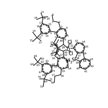 CCCc1ccc2c(c1-c1cc(C(C)(C)C)cc(C(C)(C)C)c1)C=C(C(C)C)[CH]2[Zr]([Cl])([Cl])([c]1cccc2c1[SiH2]c1ccccc1-2)[CH]1C(C(C)C)=Cc2c1ccc(CCC)c2-c1cc(C(C)(C)C)cc(C(C)(C)C)c1